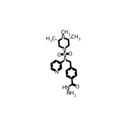 C[C@@H]1CN(S(=O)(=O)N(Cc2ccc(C(=O)NN)cc2)c2cccnc2)C[C@H](C)N1C